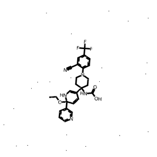 CCOC1(c2cccnc2)C=CC(C2(NC(=O)O)CCN(c3ccc(C(F)(F)F)cc3C#N)CC2)=CN1